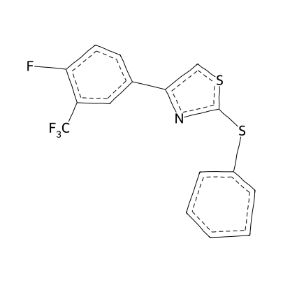 Fc1ccc(-c2csc(Sc3ccccc3)n2)cc1C(F)(F)F